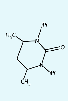 CC(C)N1C(=O)N(C(C)C)C(C)CC1C